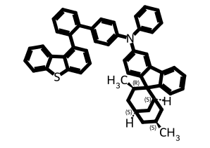 C[C@H]1C[C@@H]2C[C@H](C1)C1(c3ccccc3-c3cc(N(c4ccccc4)c4ccc(-c5ccccc5-c5cccc6sc7ccccc7c56)cc4)ccc31)[C@H](C)C2